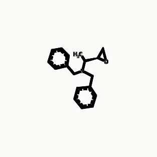 CC([C@H]1CO1)N(Cc1ccccc1)Cc1ccccc1